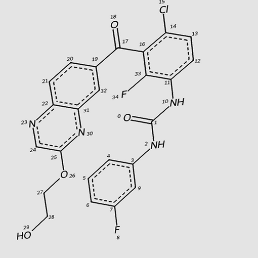 O=C(Nc1cccc(F)c1)Nc1ccc(Cl)c(C(=O)c2ccc3ncc(OCCO)nc3c2)c1F